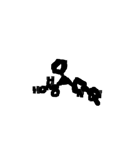 Cc1ncc(-c2ccc([C@H]3[C@H](C(=O)NO)[C@@H]3C3C=CC=CC3)cn2)o1